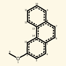 COc1ccc2c[c]c3ccccc3c2c1